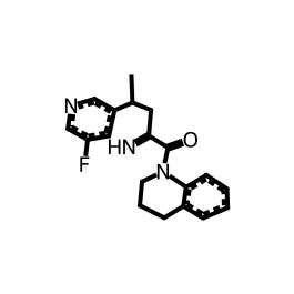 CC(CC(=N)C(=O)N1CCCc2ccccc21)c1cncc(F)c1